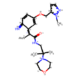 CN/C(C(=O)NCC(C)(C)N1CCOCC1)=C1/C=C(OCc2ccnn2C)C=CC1=N